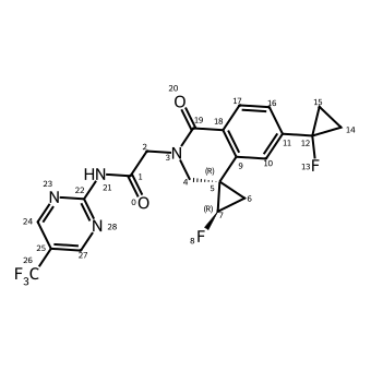 O=C(CN1C[C@@]2(C[C@H]2F)c2cc(C3(F)CC3)ccc2C1=O)Nc1ncc(C(F)(F)F)cn1